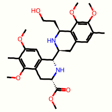 COC(=O)[C@@H]1Cc2c(cc(OC)c(C)c2OC)[C@H]([C@@H]2Cc3cc(C)c(OC)c(OC)c3[C@H](CCO)N2)N1